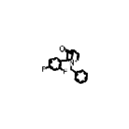 O=C1C2CC[N+](Cc3ccccc3)(CC2)C1c1ccc(F)cc1F